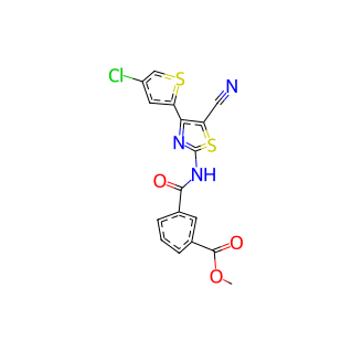 COC(=O)c1cccc(C(=O)Nc2nc(-c3cc(Cl)cs3)c(C#N)s2)c1